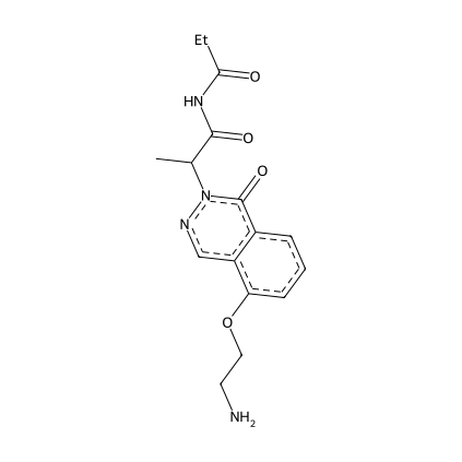 CCC(=O)NC(=O)C(C)n1ncc2c(OCCN)cccc2c1=O